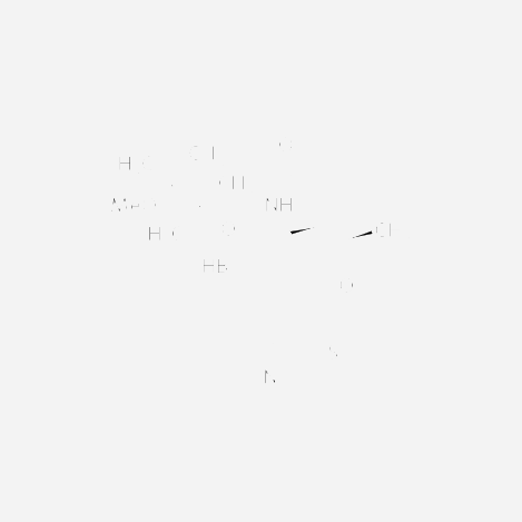 COC(C)(C)C(C)(C)OBc1cc(O[C@H](C)[C@H]2CNC(=O)C2)c2scnc2c1